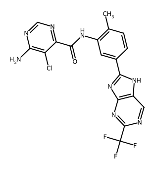 Cc1ccc(-c2nc3nc(C(F)(F)F)ncc3[nH]2)cc1NC(=O)c1ncnc(N)c1Cl